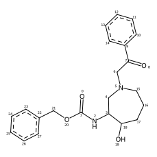 O=C(NC1CN(CC(=O)c2ccccc2)CCCC1O)OCc1ccccc1